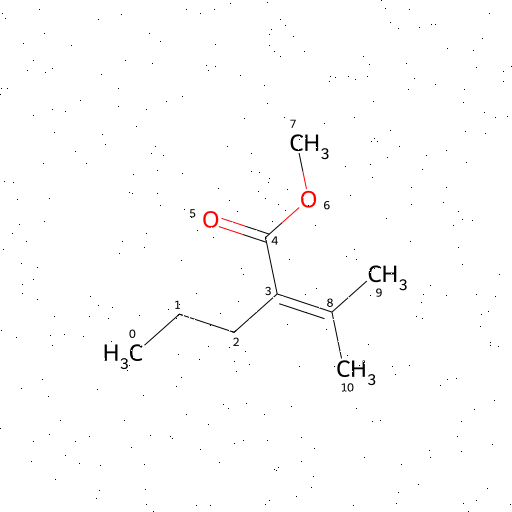 CCCC(C(=O)OC)=C(C)C